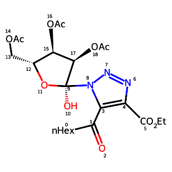 CCCCCCC(=O)c1c(C(=O)OCC)nnn1[C@@]1(O)O[C@H](COC(C)=O)[C@@H](OC(C)=O)[C@H]1OC(C)=O